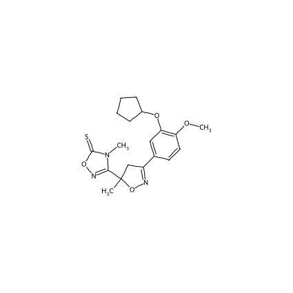 COc1ccc(C2=NOC(C)(c3noc(=S)n3C)C2)cc1OC1CCCC1